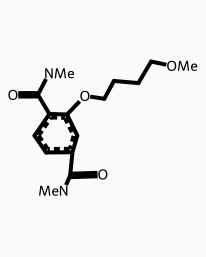 CNC(=O)c1ccc(C(=O)NC)c(OCCCCOC)c1